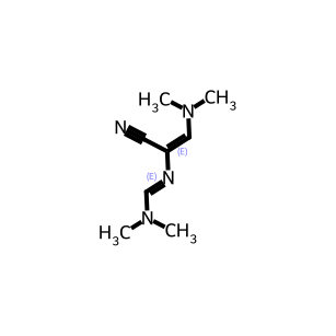 CN(C)/C=N/C(C#N)=C/N(C)C